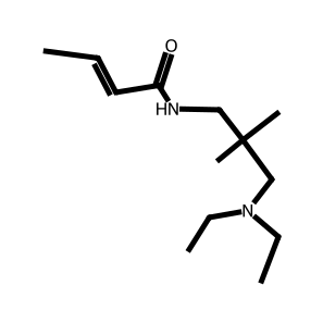 C/C=C/C(=O)NCC(C)(C)CN(CC)CC